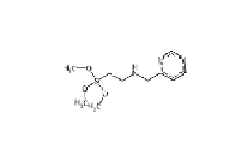 CO[Si](CCNCc1ccccc1)(OC)OC